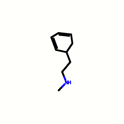 CNCCC1C=CC=CC1